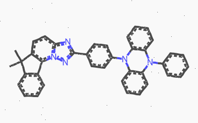 CC1(C)c2ccccc2-c2c1ccc1nc(-c3ccc(N4c5ccccc5N(c5ccccc5)c5ccccc54)cc3)nn21